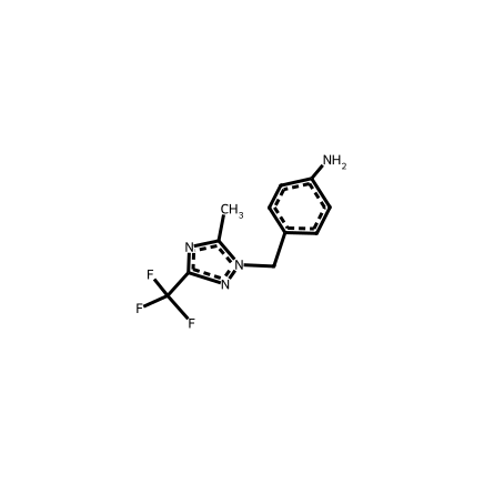 Cc1nc(C(F)(F)F)nn1Cc1ccc(N)cc1